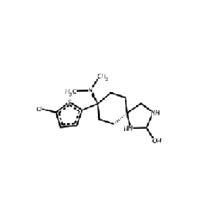 CN(C)[C@]1(c2ccc(Cl)s2)CC[C@]2(CC1)CNC(O)N2